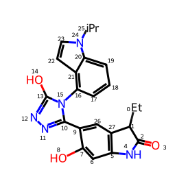 CCC1C(=O)Nc2cc(O)c(-c3nnc(O)n3-c3cccc4c3ccn4C(C)C)cc21